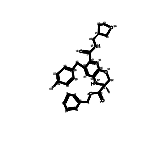 C[C@@]1(C(=O)OCc2ccccc2)COc2nc(C(=O)NC[C@H]3CCOC3)c(Cc3ccc(F)cc3)cc2N1